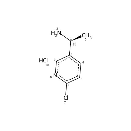 C[C@H](N)c1ccc(Cl)nc1.Cl